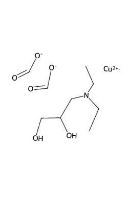 CCN(CC)CC(O)CO.O=C[O-].O=C[O-].[Cu+2]